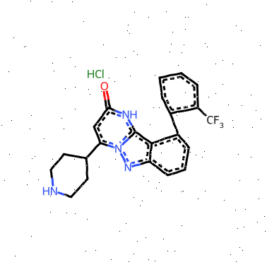 Cl.O=c1cc(C2CCNCC2)n2nc3cccc(-c4ccccc4C(F)(F)F)c3c2[nH]1